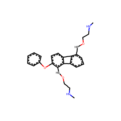 CNCCOBc1cccc2c1-c1ccc(Oc3ccccc3)c(BOCCNC)c1-2